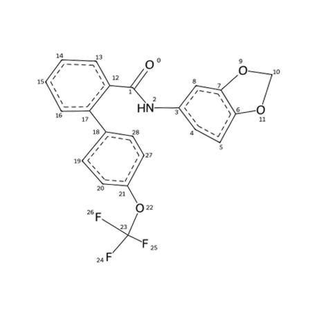 O=C(Nc1ccc2c(c1)OCO2)c1ccccc1-c1ccc(OC(F)(F)F)cc1